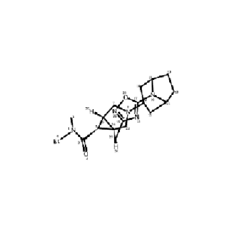 CCN(C)C(=O)[C@H]1[C@@H]2CN(C3CC4CCC(C3)N4c3nc(C)no3)C[C@@H]21